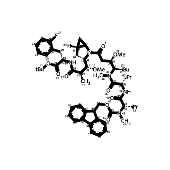 CC[C@H](C)C([C@@H](CC(=O)N1C2C[C@H]2C[C@H]1[C@H](OC)[C@@H](C)C(=O)N[C@@H](Cc1ccccc1F)C(=O)OC(C)(C)C)OC)N(C)C(=O)[C@@H](NC(=O)[C@H](C(C)C)N(C)C(=O)OCC1c2ccccc2-c2ccccc21)C(C)C